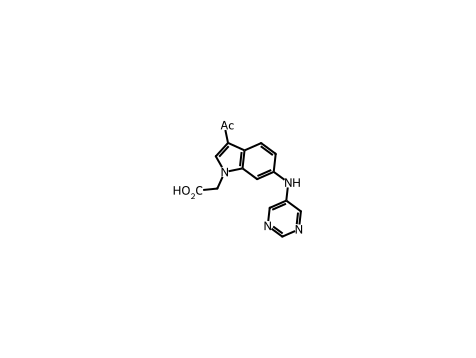 CC(=O)c1cn(CC(=O)O)c2cc(Nc3cncnc3)ccc12